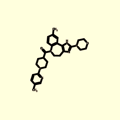 Cc1ccc(N2CCC(C(=O)N3CCc4nc(N5CCOCC5)[nH]c4-c4cc(C)ccc43)CC2)nc1